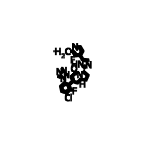 [CH2]c1nccc(-c2cnc([C@@H]3CC[C@@H]4CC(c5c(-n6cnnn6)ccc(Cl)c5F)=CC(=O)N43)[nH]2)c1F